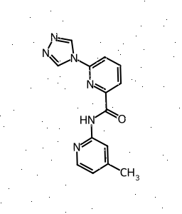 Cc1ccnc(NC(=O)c2cccc(-n3cnnc3)n2)c1